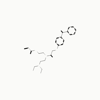 C=CC(=O)OCCN(CCN(CC)CC)C(=O)COc1ccc(C(=O)c2ccccc2)cc1